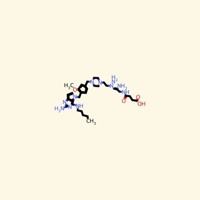 CCCCCNc1nc(N)nc2ccn(Cc3ccc(CN4CCN(CCN(N)/C=C(\N)CNC(=O)CCC(=O)O)CC4)cc3OC)c12